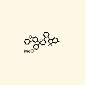 COc1ccc(C2(c3ccc4oc5ccccc5c4c3)C=Cc3c4c(c5ccccc5c3O2)-c2ccc(C)cc2C4(C)C)cc1